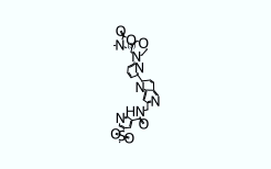 CN1C[C@@]2(COCCN(c3cccc(-c4ccc5cnc(CNC(=O)c6cncc(S(C)(=O)=O)c6)cc5n4)n3)C2)OC1=O